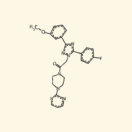 COc1cccc(-c2nc(-c3ccc(F)cc3)n(CC(=O)N3CCN(c4ncccn4)CC3)n2)c1